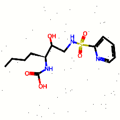 CCCC[C@H](NC(=O)O)C(O)CNS(=O)(=O)c1ccccn1